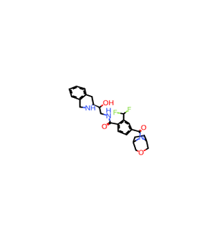 O=C(NCC(O)[C@@H]1Cc2ccccc2CN1)c1ccc(C(=O)N2C3CCC2COC3)cc1C(F)F